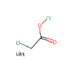 O=C(CCl)OCl.[LiH]